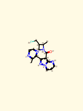 Cc1nccnc1-c1nn2cccnc2c1C(=O)N1CC(CF)C1C